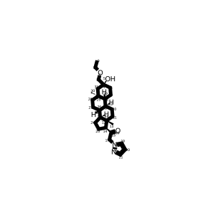 CCOC[C@@]1(O)CC[C@@H]2[C@H]3CC[C@]4(C)[C@@H](C(=O)Cn5cccn5)CC[C@H]4[C@@H]3CC[C@@]2(C)C1